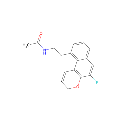 CC(=O)NCCc1cccc2cc(F)c3c(c12)C=CCO3